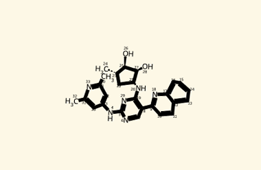 Cc1cc(Nc2ncc(-c3ccc4ccccc4n3)c(N[C@@H]3C[C@H](C)[C@@H](O)[C@H]3O)n2)cc(C)n1